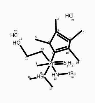 CC1=C(C)C(C)[C]([Zr]([CH3])(=[SiH2])([CH2]CO)([NH]C(C)(C)C)[SiH](C)C)=C1C.Cl.Cl